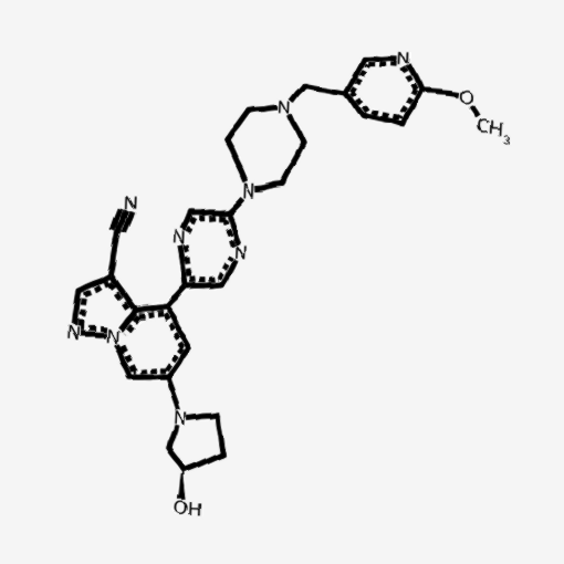 COc1ccc(CN2CCN(c3cnc(-c4cc(N5CC[C@@H](O)C5)cn5ncc(C#N)c45)cn3)CC2)cn1